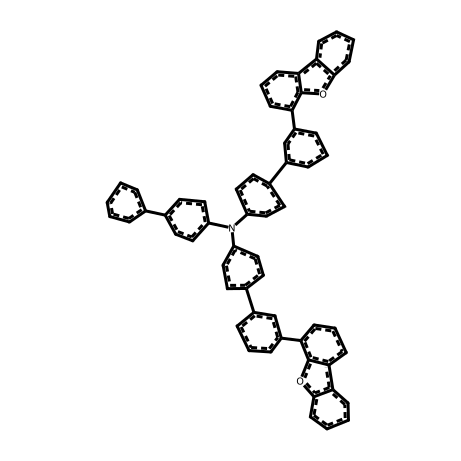 c1ccc(-c2ccc(N(c3ccc(-c4cccc(-c5cccc6c5oc5ccccc56)c4)cc3)c3ccc(-c4cccc(-c5cccc6c5oc5ccccc56)c4)cc3)cc2)cc1